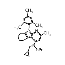 CCCN(CC1CC1)c1cc(C)nc2c1c1c(n2-c2c(C)cc(C)cc2C)CCCC1